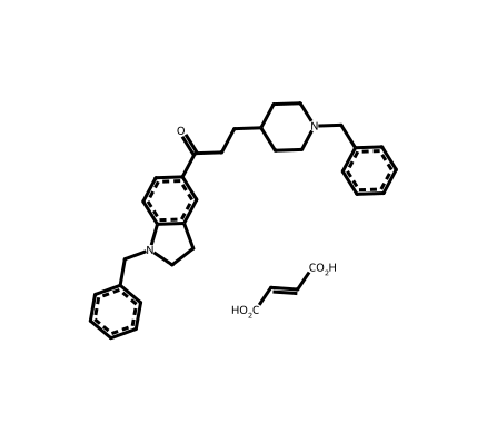 O=C(CCC1CCN(Cc2ccccc2)CC1)c1ccc2c(c1)CCN2Cc1ccccc1.O=C(O)C=CC(=O)O